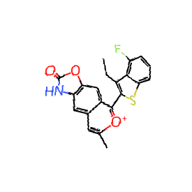 CCc1c(-c2[o+]c(C)cc3cc4[nH]c(=O)oc4cc23)sc2cccc(F)c12